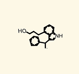 [CH2]C(c1ccccc1)c1c[nH]c2cccc(CCCO)c12